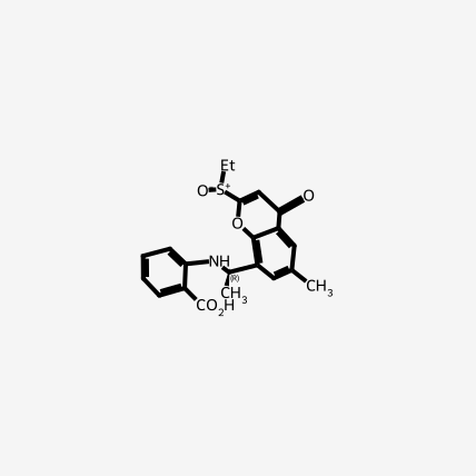 CC[S+]([O-])c1cc(=O)c2cc(C)cc([C@@H](C)Nc3ccccc3C(=O)O)c2o1